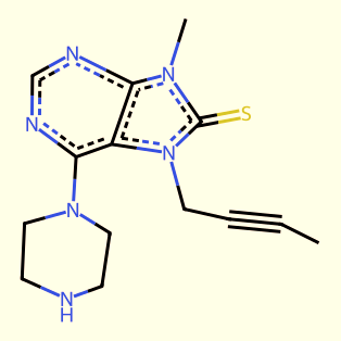 CC#CCn1c(=S)n(C)c2ncnc(N3CCNCC3)c21